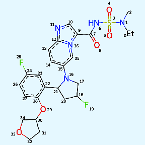 CCN(C)S(=O)(=O)NC(=O)c1cnc2ccc(N3CC(F)CC3c3cc(F)ccc3OC3CCOC3)cn12